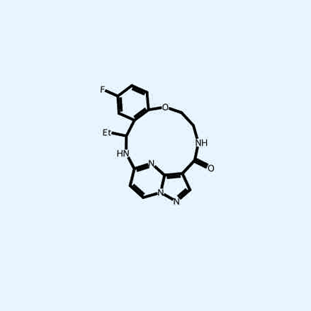 CCC1Nc2ccn3ncc(c3n2)C(=O)NCCOc2ccc(F)cc21